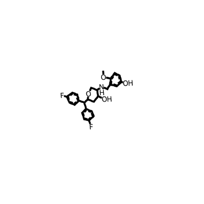 COc1ccc(O)cc1CNC1COC(C(c2ccc(F)cc2)c2ccc(F)cc2)CC1O